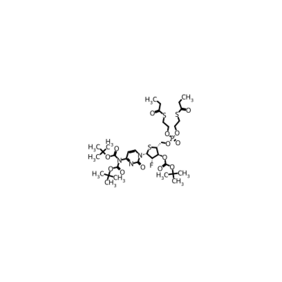 CCC(=O)SCCOP(=O)(OCCSC(=O)CC)OC[C@H]1S[C@@H](n2ccc(N(C(=O)OC(C)(C)C)C(=O)OC(C)(C)C)nc2=O)[C@@H](F)[C@@H]1OC(=O)OC(C)(C)C